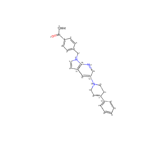 COC(=O)c1ccc(Cn2ccc3cc(N4CC=C(c5ccccc5)CC4)cnc32)cc1